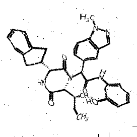 CC[C@H](C)[C@@H]1C(=O)N[C@H](C2Cc3ccccc3C2)C(=O)N1C(C(=O)Nc1ccccc1O)c1ccc2c(cnn2C)c1